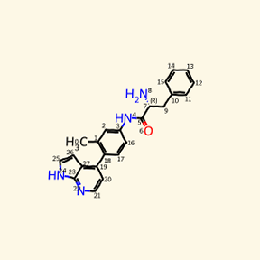 Cc1cc(NC(=O)[C@H](N)Cc2ccccc2)ccc1-c1ccnc2[nH]ccc12